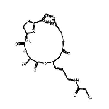 CC(C)C1NC(=O)[C@]2(C)CSC(=N2)c2csc(n2)CCC(=O)CC(/C=C/CNC(=O)CS)OC1=O